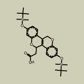 CC(C)(C)[Si](C)(C)Oc1ccc2c(c1)OC(CC(=O)O)C1=C2COc2cc(O[Si](C)(C)C(C)(C)C)ccc21